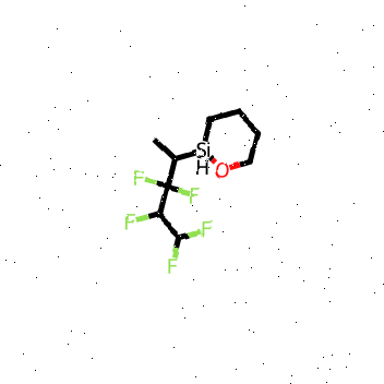 CC([SiH]1CCCCO1)C(F)(F)C(F)C(F)F